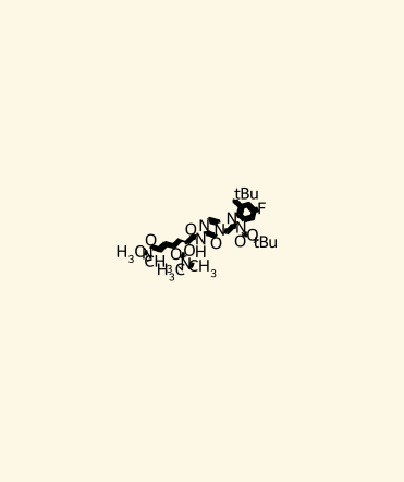 CN(C)C(=O)/C=C/CC[C@H](OC(=O)N(C)C)C(=O)Nc1nccn(Cc2nc3c(CC(C)(C)C)cc(F)cc3n2C(=O)OC(C)(C)C)c1=O